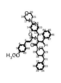 COc1ccc(C=CC(=O)N(Cc2ccc(N3CCOCC3)nc2)C(C(=O)N2CCC(Cc3ccccc3)CC2)C(I)c2ccccc2)cc1